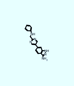 Nc1n[nH]c2cc(-c3cnc(CNc4ccccc4)nc3)ccc12